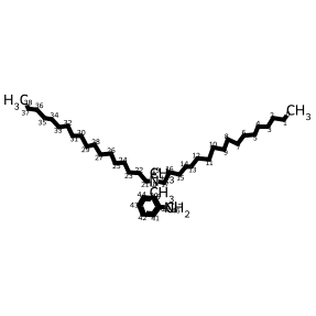 CCCCCCCCCCCCCCCCCC[N+](C)(C)CCCCCCCCCCCCCCCCCC.Nc1ccccc1.[Cl-]